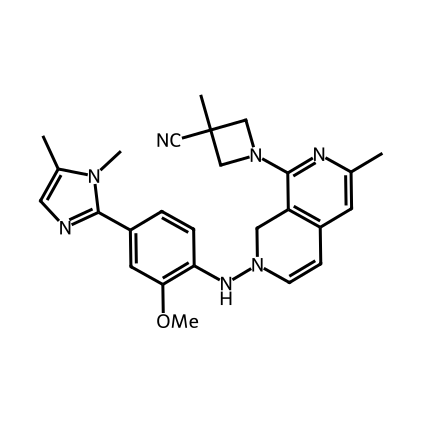 COc1cc(-c2ncc(C)n2C)ccc1NN1C=Cc2cc(C)nc(N3CC(C)(C#N)C3)c2C1